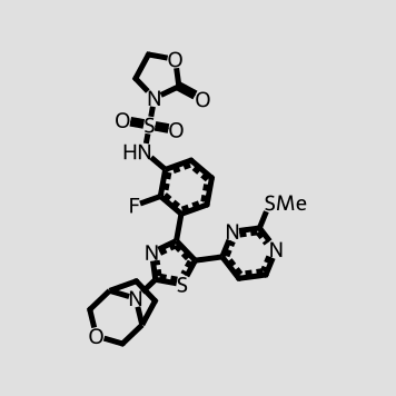 CSc1nccc(-c2sc(N3C4CCC3COC4)nc2-c2cccc(NS(=O)(=O)N3CCOC3=O)c2F)n1